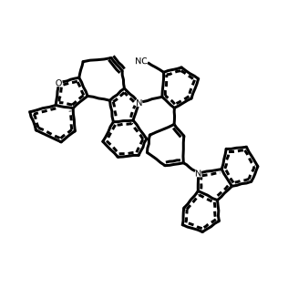 N#Cc1cccc(C2=CC(n3c4ccccc4c4ccccc43)=CCC2)c1-n1c2c(c3ccccc31)-c1c(oc3ccccc13)CC#C2